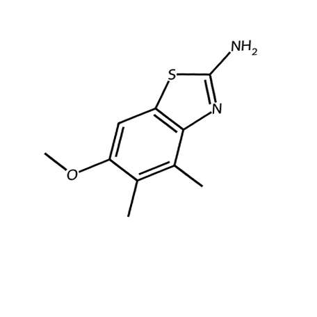 COc1cc2sc(N)nc2c(C)c1C